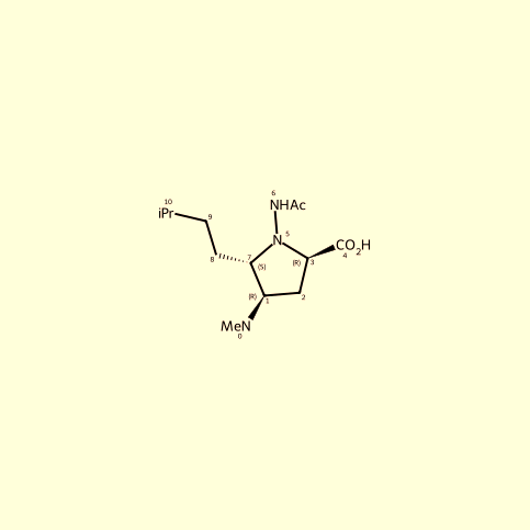 CN[C@@H]1C[C@H](C(=O)O)N(NC(C)=O)[C@H]1CCC(C)C